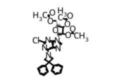 CC(=O)OC[C@H]1O[C@@H](n2cnc3c(N4CC(c5ccccc5)(c5ccccc5)C4)nc(Cl)nc32)C(OC(C)=O)C1OC(C)=O